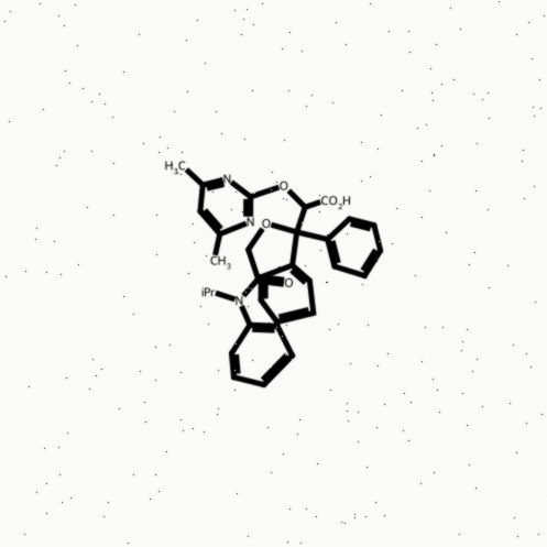 Cc1cc(C)nc(OC(C(=O)O)C(OCC(=O)N(c2ccccc2)C(C)C)(c2ccccc2)c2ccccc2)n1